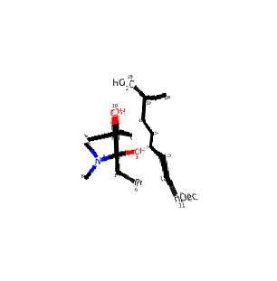 CC(C)CC(O)(N(C)C)C(C)(C)O.CCCCCCCCCCCCCCCC(C)C(=O)O